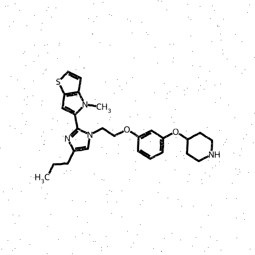 CCCc1cn(CCOc2cccc(OC3CCNCC3)c2)c(-c2cc3sccc3n2C)n1